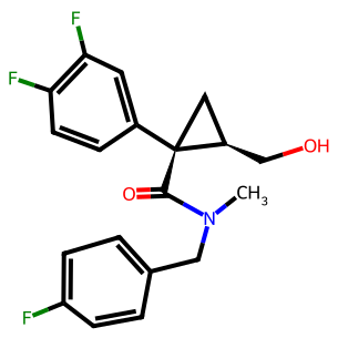 CN(Cc1ccc(F)cc1)C(=O)[C@@]1(c2ccc(F)c(F)c2)C[C@H]1CO